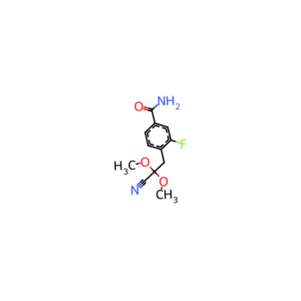 COC(C#N)(Cc1ccc(C(N)=O)cc1F)OC